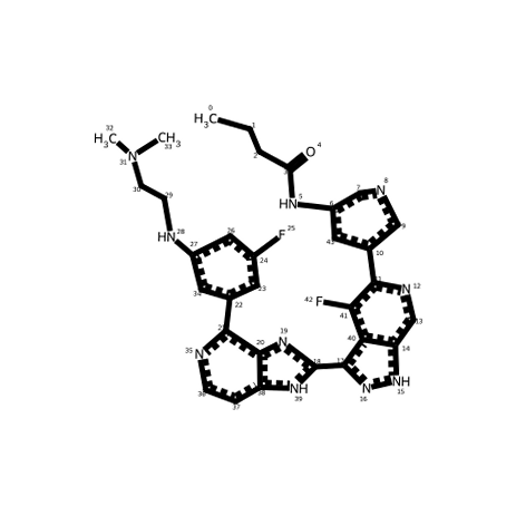 CCCC(=O)Nc1cncc(-c2ncc3[nH]nc(-c4nc5c(-c6cc(F)cc(NCCN(C)C)c6)nccc5[nH]4)c3c2F)c1